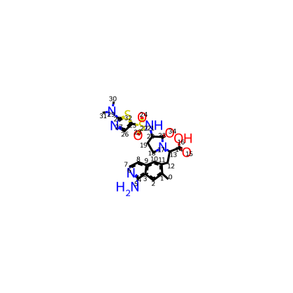 Cc1cc2c(N)nccc2cc1CC(C(=O)O)N1CCC(NS(=O)(=O)c2cnc(N(C)C)s2)C1=O